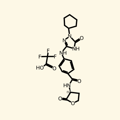 O=C(N[C@H]1CCOC1=O)c1ccc(Nc2nn(C3CCCCC3)c(=O)[nH]2)cc1.O=C(O)C(F)(F)F